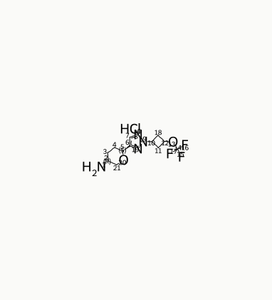 Cl.N[C@@H]1CC[C@@H](c2cnn(C3CC(OC(F)(F)F)C3)n2)OC1